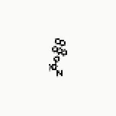 N#Cc1cncc(-c2ccc(-c3c4ccccc4c(-c4cccc5ccccc45)c4ccccc34)cc2)c1